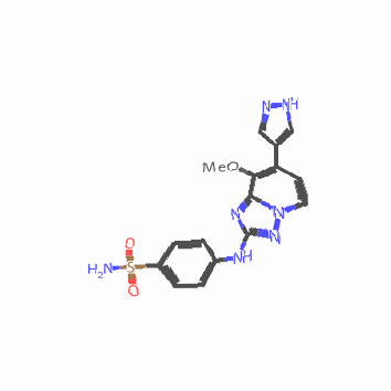 COc1c(-c2cn[nH]c2)ccn2nc(Nc3ccc(S(N)(=O)=O)cc3)nc12